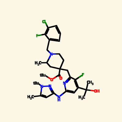 Cc1cc(Nc2cc(C(C)(C)O)c(F)c(CC3(C(=O)OC(C)(C)C)CCN(Cc4cccc(Cl)c4F)C(C)C3)n2)nn1C(C)(C)C